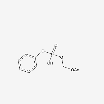 CC(=O)OCOP(=O)(O)Oc1ccccc1